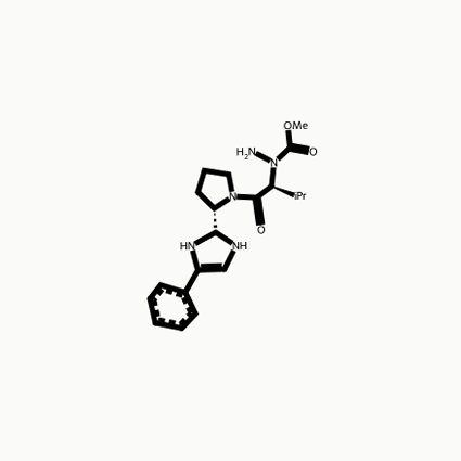 COC(=O)N(N)[C@H](C(=O)N1CCC[C@H]1C1NC=C(c2ccccc2)N1)C(C)C